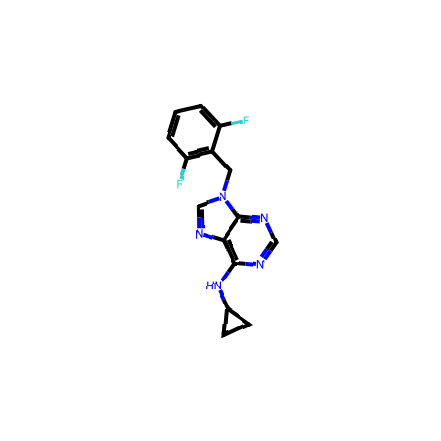 Fc1cccc(F)c1Cn1cnc2c(NC3CC3)ncnc21